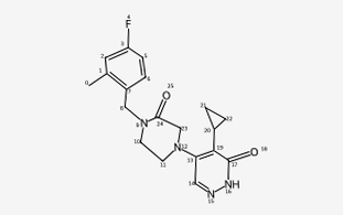 Cc1cc(F)ccc1CN1CCN(c2cn[nH]c(=O)c2C2CC2)CC1=O